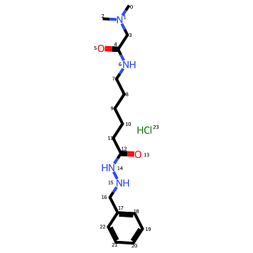 CN(C)CC(=O)NCCCCCC(=O)NNCc1ccccc1.Cl